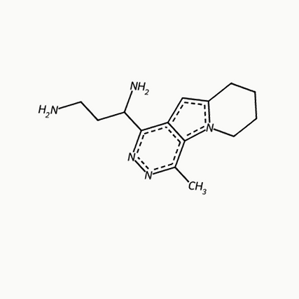 Cc1nnc(C(N)CCN)c2cc3n(c12)CCCC3